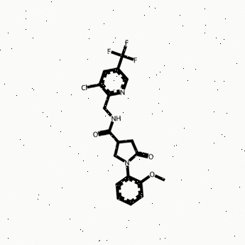 COc1ccccc1N1CC(C(=O)NCc2ncc(C(F)(F)F)cc2Cl)CC1=O